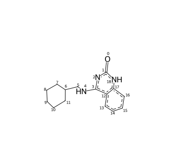 O=c1nc(NCC2CCCCC2)c2ccccc2[nH]1